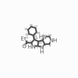 CCC(=O)C1NC2NC3CNCNC3C2C1C1CCCCC1